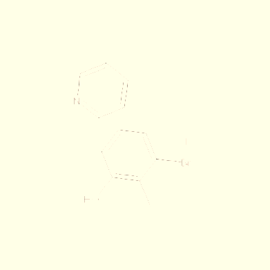 Cc1c(O)cccc1Br.Cl.c1ccncc1